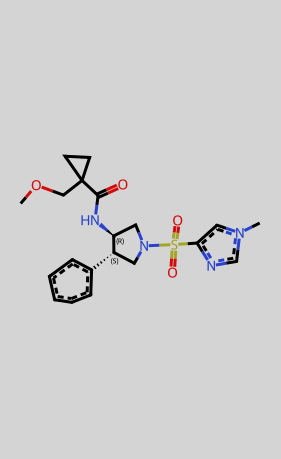 COCC1(C(=O)N[C@H]2CN(S(=O)(=O)c3cn(C)cn3)C[C@@H]2c2ccccc2)CC1